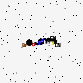 CC(C)C(C#N)(CCCN1CCN(CCOc2cccc(Br)c2)CC1)c1ccc(C#N)s1